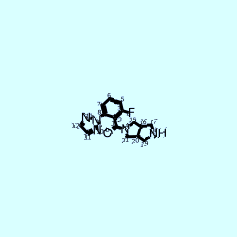 O=C(c1c(F)cccc1-n1nccn1)N1CC2CNCC2C1